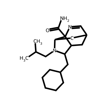 CC(C)CN1C(CC2CCCCC2)C2CC3C=NC2(C(N)=O)C1C3